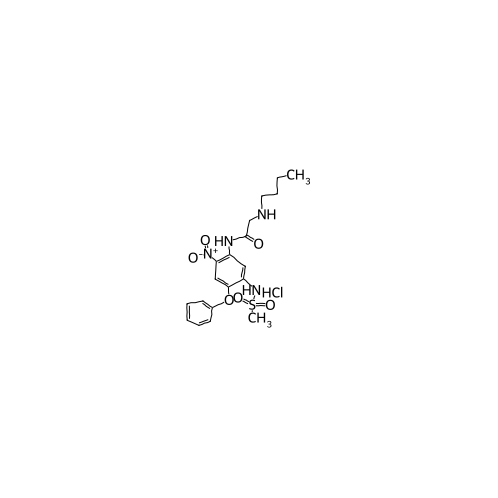 CCCCNCC(=O)Nc1cc(NS(C)(=O)=O)c(Oc2ccccc2)cc1[N+](=O)[O-].Cl